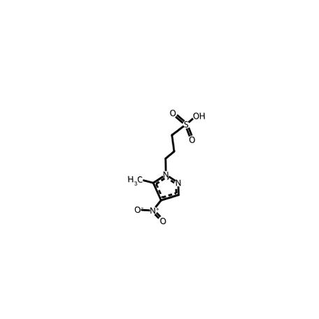 Cc1c([N+](=O)[O-])cnn1CCCS(=O)(=O)O